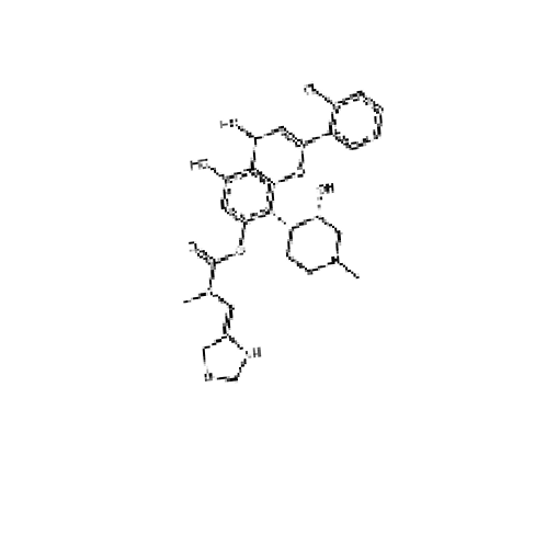 CN1CC[C@H](c2c(OC(=O)N(C)/C=C3\COCN3)cc(O)c3c2OC(c2ccccc2Cl)=CC3O)[C@H](O)C1